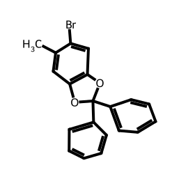 Cc1cc2c(cc1Br)OC(c1ccccc1)(c1ccccc1)O2